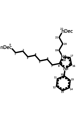 CCCCCCCCCCCCCCCCCc1n(-c2ccccc2)cc[n+]1CCCCCCCCCCCCC